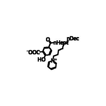 CCCCCCCC(=O)c1ccc(O)c(C(=O)[O-])c1.CCCCCCCCCCCCCCCC[n+]1ccccc1